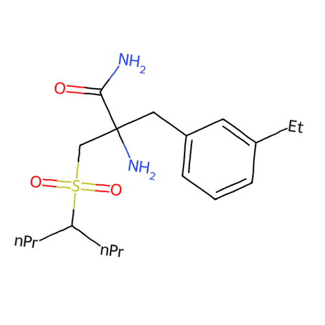 CCCC(CCC)S(=O)(=O)CC(N)(Cc1cccc(CC)c1)C(N)=O